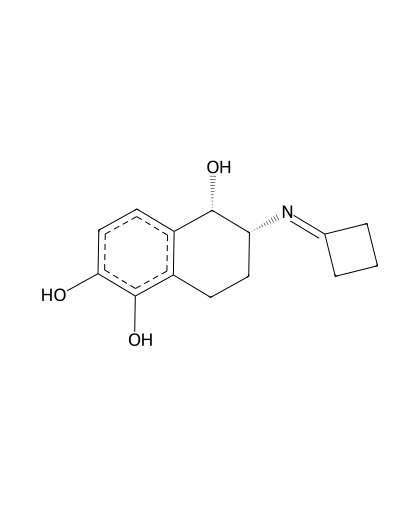 Oc1ccc2c(c1O)CC[C@@H](N=C1CCC1)[C@H]2O